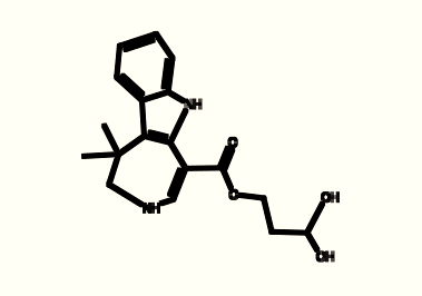 CC1(C)CNC=C(C(=O)OCCC(O)O)c2[nH]c3ccccc3c21